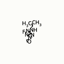 CC(C)=CCNc1nc(F)nc2c1ncn2C1CCO1